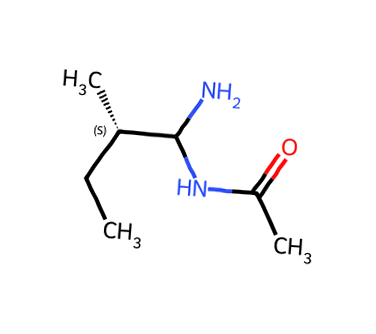 CC[C@H](C)C(N)NC(C)=O